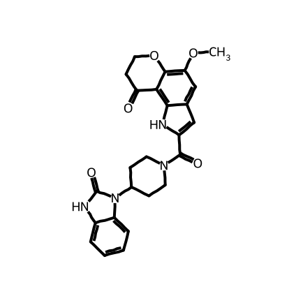 COc1cc2cc(C(=O)N3CCC(n4c(=O)[nH]c5ccccc54)CC3)[nH]c2c2c1OCCC2=O